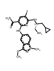 COc1nn(C)c2ccc(Nc3nc(N[C@@H](CN)CC4CC4)c(F)cc3C(N)=O)cc12